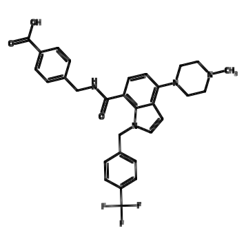 CN1CCN(c2ccc(C(=O)NCc3ccc(C(=O)O)cc3)c3c2ccn3Cc2ccc(C(F)(F)F)cc2)CC1